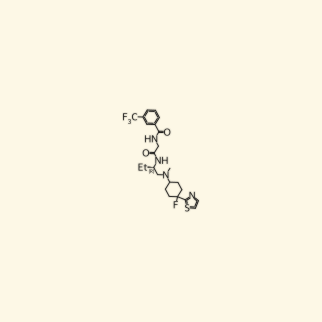 CC[C@H](CN(C)C1CCC(F)(c2nccs2)CC1)NC(=O)CNC(=O)c1cccc(C(F)(F)F)c1